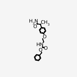 CC(C(N)=O)c1ccc(OCCNC(=O)OCc2ccccc2)cc1